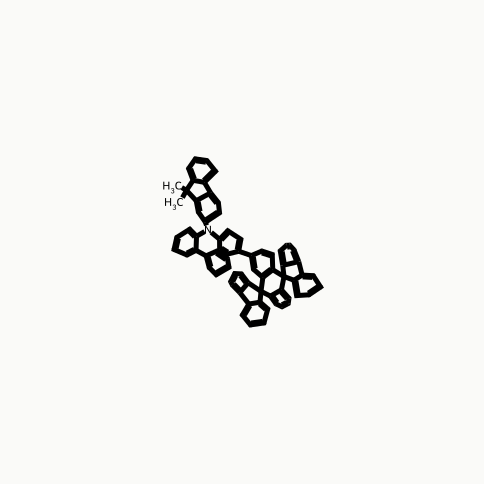 CC1(C)c2ccccc2-c2ccc(N(c3ccc(-c4ccc5c(c4)C4(c6ccccc6-c6ccccc64)c4ccccc4C54c5ccccc5-c5ccccc54)cc3)c3ccccc3-c3ccccc3)cc21